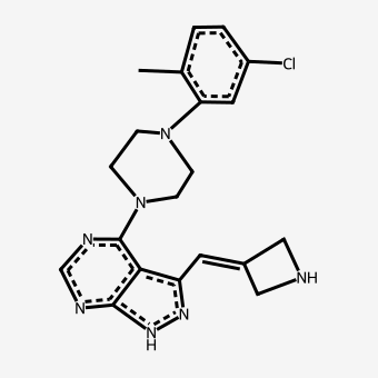 Cc1ccc(Cl)cc1N1CCN(c2ncnc3[nH]nc(C=C4CNC4)c23)CC1